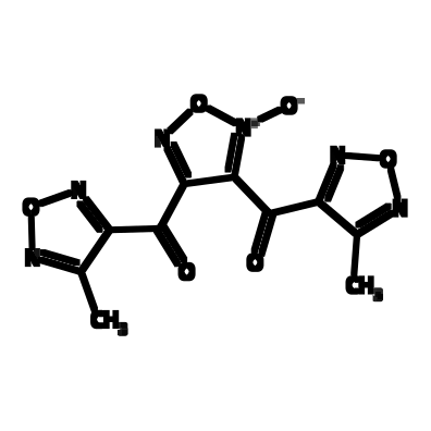 Cc1nonc1C(=O)c1no[n+]([O-])c1C(=O)c1nonc1C